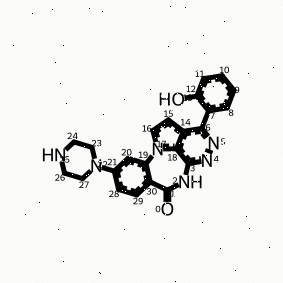 O=C1Nc2nnc(-c3ccccc3O)c3ccn(c23)-c2cc(N3CCNCC3)ccc21